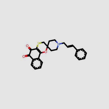 O=C1C(=O)c2ccccc2C2=C1SCC1(CCN(C/C=C/c3ccccc3)CC1)O2